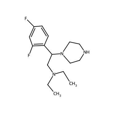 CCN(CC)CC(c1ccc(F)cc1F)N1CCNCC1